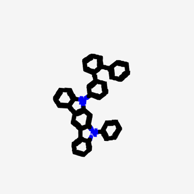 c1ccc(-c2ccccc2-c2cccc(-n3c4ccccc4c4cc5c6ccccc6n(-c6ccccc6)c5cc43)c2)cc1